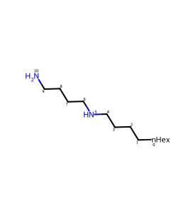 CCCCCCCCCCNCCCCN